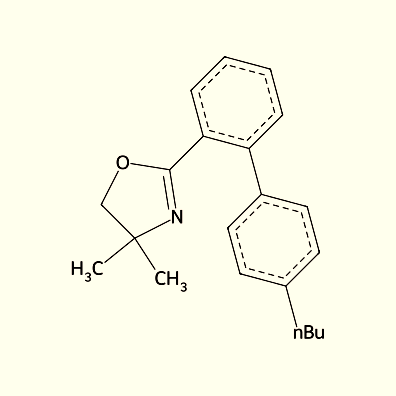 CCCCc1ccc(-c2ccccc2C2=NC(C)(C)CO2)cc1